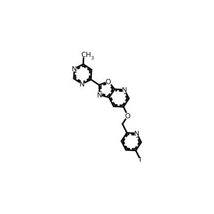 Cc1cc(-c2nc3cc(OCc4ccc(I)cn4)cnc3o2)ncn1